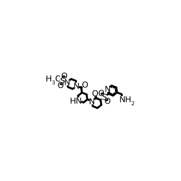 CS(=O)(=O)N1CCN(C(=O)C2CNCC(N3CCC[C@@H](S(=O)(=O)c4cc(CN)ccn4)C3=O)C2)CC1